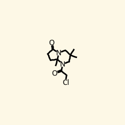 CC1(C)CN(C(=O)CCl)C2(C)CCC(=O)N2C1